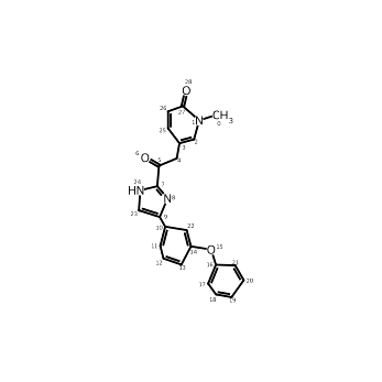 Cn1cc(CC(=O)c2nc(-c3cccc(Oc4ccccc4)c3)c[nH]2)ccc1=O